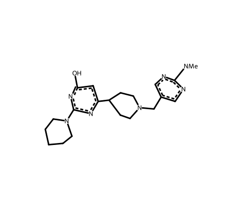 CNc1ncc(CN2CCC(c3cc(O)nc(N4CCCCC4)n3)CC2)cn1